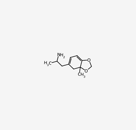 CC(N)CC1=CC=C2OCOC2(C)C1